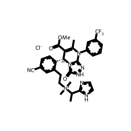 COC(=O)C1=C(C)N(c2cccc(C(F)(F)F)c2)c2n[nH]c(=O)n2[C@@H]1c1ccc(C#N)cc1CC[N+](C)(C)C(C)c1ncc[nH]1.[Cl-]